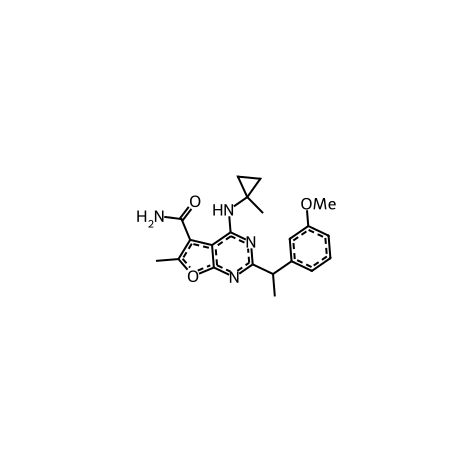 COc1cccc(C(C)c2nc(NC3(C)CC3)c3c(C(N)=O)c(C)oc3n2)c1